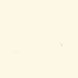 Cc1cncc(-c2ccc(O)cc2)c1